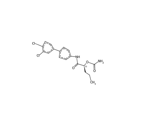 CCC[C@H](OC(N)=O)C(=O)Nc1ccc(-c2ccc(Cl)c(Cl)c2)cc1